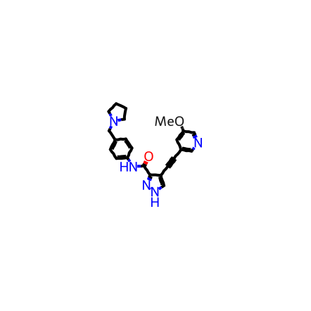 COc1cncc(C#Cc2c[nH]nc2C(=O)Nc2ccc(CN3CCCC3)cc2)c1